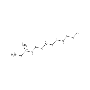 CCCOCCOCCOC(N)CN